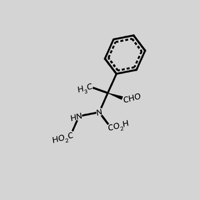 C[C@](C=O)(c1ccccc1)N(NC(=O)O)C(=O)O